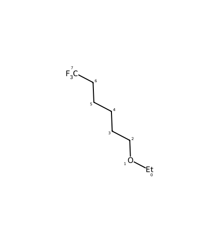 [CH2]COCCCCCC(F)(F)F